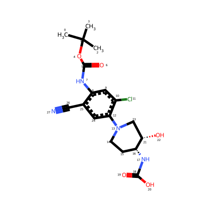 CC(C)(C)OC(=O)Nc1cc(Cl)c(N2CC[C@@H](NC(=O)O)[C@@H](O)C2)cc1C#N